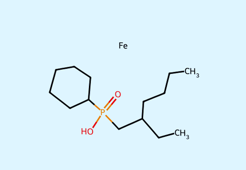 CCCCC(CC)CP(=O)(O)C1CCCCC1.[Fe]